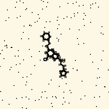 Clc1nc(SCc2ccccc2)nc2nc(NCCc3cccs3)sc12